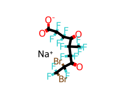 O=C([O-])C(F)(F)C(F)(F)C(=O)C(F)(C(F)(F)F)C(F)(F)C(=O)C(F)(Br)C(F)(F)Br.[Na+]